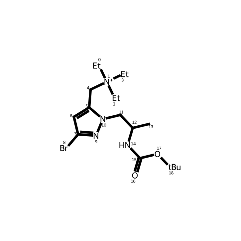 CC[N+](CC)(CC)Cc1cc(Br)nn1CC(C)NC(=O)OC(C)(C)C